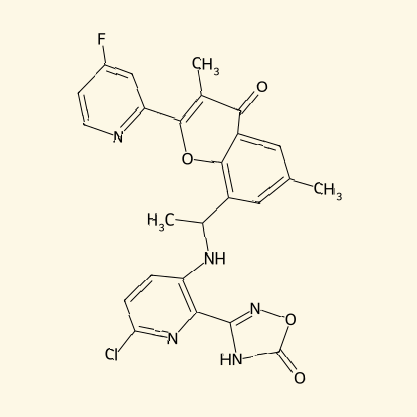 Cc1cc(C(C)Nc2ccc(Cl)nc2-c2noc(=O)[nH]2)c2oc(-c3cc(F)ccn3)c(C)c(=O)c2c1